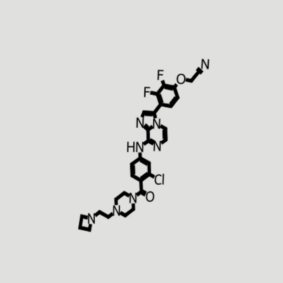 N#CCOc1ccc(-c2cnc3c(Nc4ccc(C(=O)N5CCN(CCN6CCC6)CC5)c(Cl)c4)nccn23)c(F)c1F